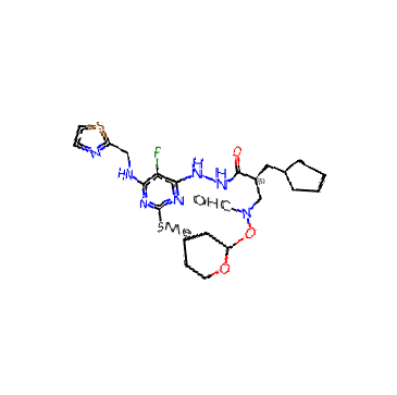 CSc1nc(NCc2nccs2)c(F)c(NNC(=O)[C@@H](CC2CCCC2)CN(C=O)OC2CCCCO2)n1